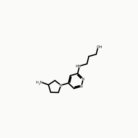 NC1CCN(c2cnnc(NCCCO)c2)C1